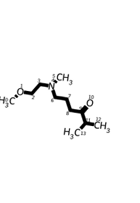 COCCN(C)CCCC(=O)C(C)C